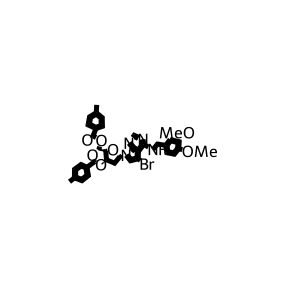 COc1ccc(CNc2ncnc3c2c(Br)cn3[C@H]2C[C@H](OC(=O)c3ccc(C)cc3)[C@@H](COC(=O)c3ccc(C)cc3)O2)c(OC)c1